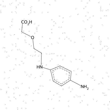 Nc1ccc(NCCOCC(=O)O)cc1